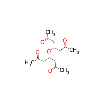 CC(=O)CC(CC(C)=O)OC(CC(C)=O)CC(C)=O